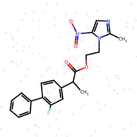 Cc1ncc([N+](=O)[O-])n1CCOC(=O)C(C)c1ccc(-c2ccccc2)c(F)c1